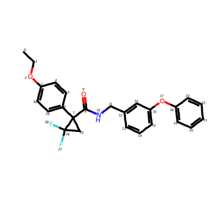 CCOc1ccc(C2(C(=O)NCc3cccc(Oc4ccccc4)c3)CC2(F)F)cc1